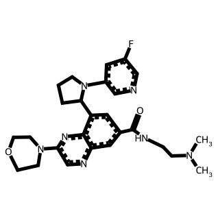 CN(C)CCNC(=O)c1cc(C2CCCN2c2cncc(F)c2)c2nc(N3CCOCC3)cnc2c1